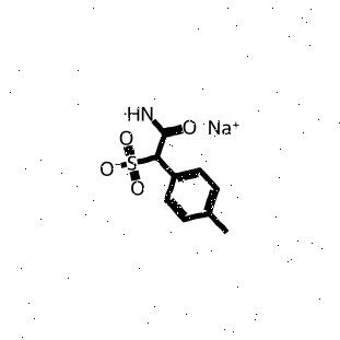 Cc1ccc(C(C([NH])=O)S(=O)(=O)[O-])cc1.[Na+]